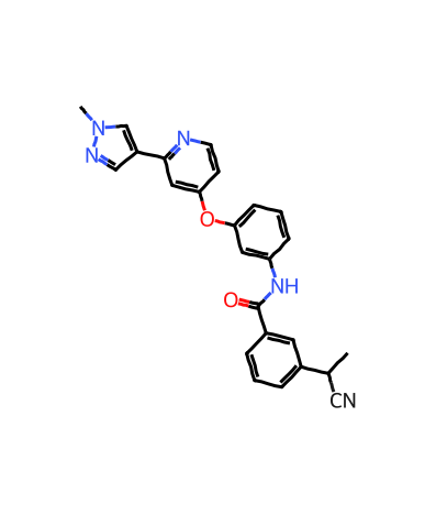 CC(C#N)c1cccc(C(=O)Nc2cccc(Oc3ccnc(-c4cnn(C)c4)c3)c2)c1